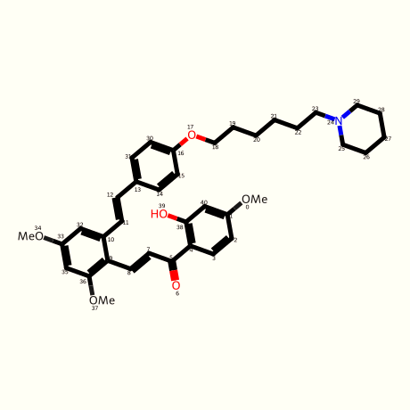 COc1ccc(C(=O)/C=C/c2c(/C=C/c3ccc(OCCCCCCN4CCCCC4)cc3)cc(OC)cc2OC)c(O)c1